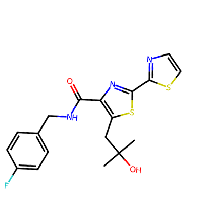 CC(C)(O)Cc1sc(-c2nccs2)nc1C(=O)NCc1ccc(F)cc1